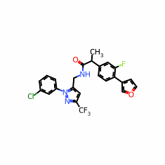 CC(C(=O)NCc1cc(C(F)(F)F)nn1-c1cccc(Cl)c1)c1ccc(-c2ccoc2)c(F)c1